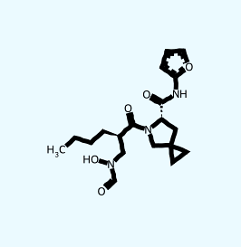 CCCC[C@H](CN(O)C=O)C(=O)N1CC2(CC2)C[C@H]1C(=O)Nc1ccco1